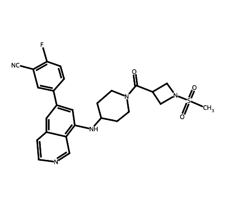 CS(=O)(=O)N1CC(C(=O)N2CCC(Nc3cc(-c4ccc(F)c(C#N)c4)cc4ccncc34)CC2)C1